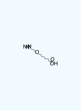 [N-]=[N+]=NCCCOCCCCCCCC(=O)O